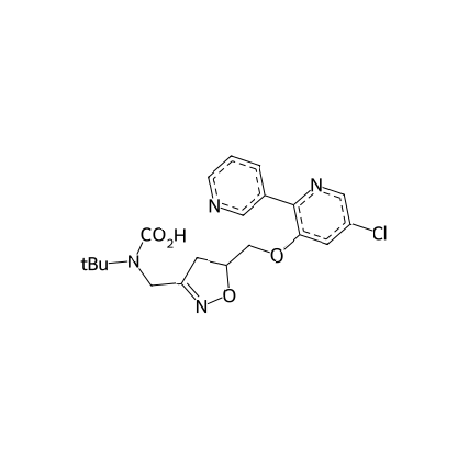 CC(C)(C)N(CC1=NOC(COc2cc(Cl)cnc2-c2cccnc2)C1)C(=O)O